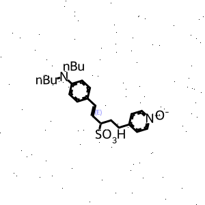 CCCCN(CCCC)c1ccc(/C=C/C(CCc2cc[n+]([O-])cc2)S(=O)(=O)O)cc1